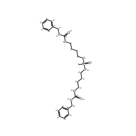 CP(=O)(OCCCCOC(=O)OCc1ccccc1)OCCCCOC(=O)OCc1ccccc1